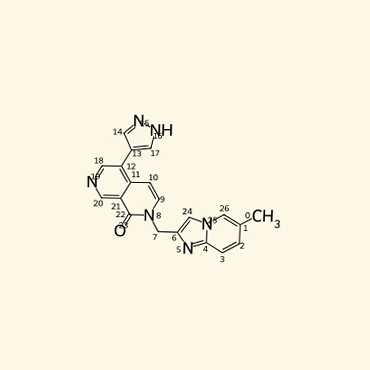 Cc1ccc2nc(Cn3ccc4c(-c5cn[nH]c5)cncc4c3=O)cn2c1